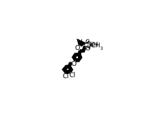 C[SiH](C)OCCC(OC1CC1)c1ccc(OCc2ccc(Cl)c(Cl)c2)cc1